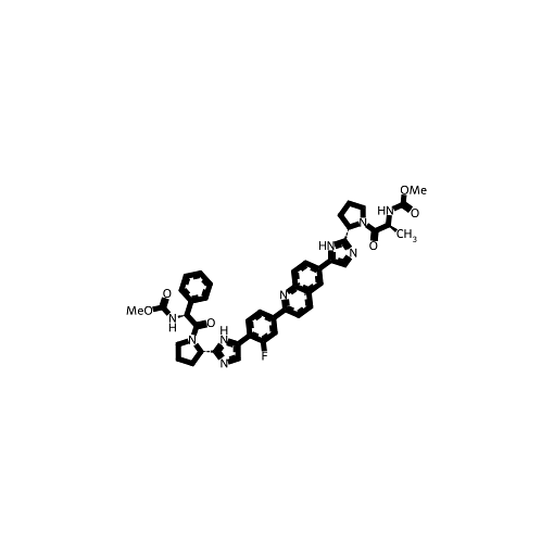 COC(=O)N[C@@H](C)C(=O)N1CCC[C@H]1c1ncc(-c2ccc3nc(-c4ccc(-c5cnc([C@@H]6CCCN6C(=O)[C@H](NC(=O)OC)c6ccccc6)[nH]5)c(F)c4)ccc3c2)[nH]1